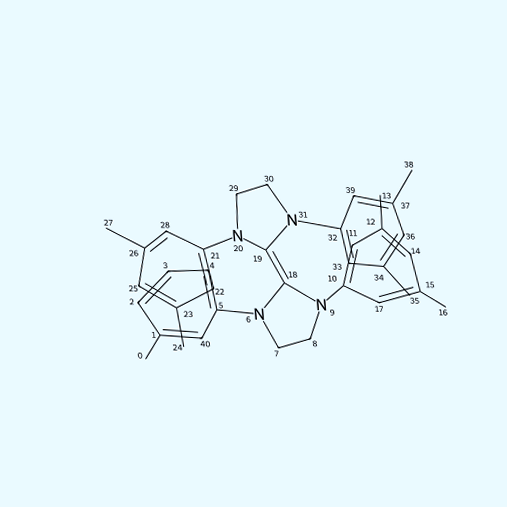 Cc1cccc(N2CCN(c3cc(C)cc(C)c3)C2=C2N(c3cc(C)cc(C)c3)CCN2c2cc(C)cc(C)c2)c1